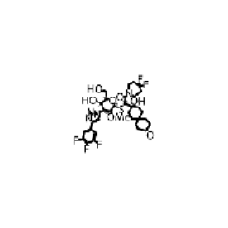 CO[C@@H]1[C@@H](n2cc(-c3cc(F)c(F)c(F)c3)nn2)[C@@H](O)[C@@H](CO)O[C@H]1S[C@H](C(=O)N1CCC(F)(F)CC1)C1(O)CCC2(CCC(=O)CC2)CC1